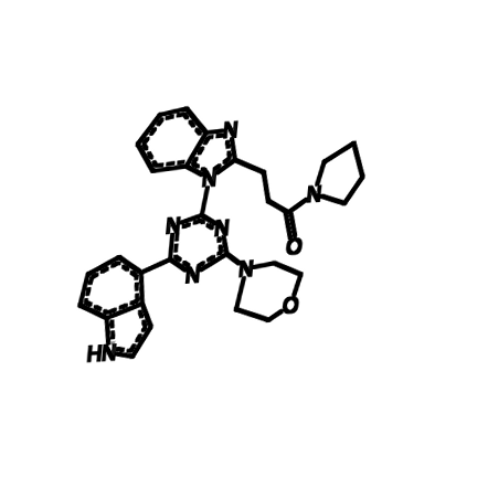 O=C(CCc1nc2ccccc2n1-c1nc(-c2cccc3[nH]ccc23)nc(N2CCOCC2)n1)N1CCCC1